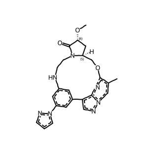 CO[C@@H]1C[C@H]2COc3nc4c(cnn4cc3C)-c3cc(cc(-n4cccn4)c3)NCCN2C1=O